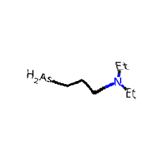 CCN(CC)CCC[AsH2]